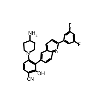 N#Cc1ccc(N2CCC(N)CC2)c(-c2ccc3nc(-c4cc(F)cc(F)c4)ccc3c2)c1O